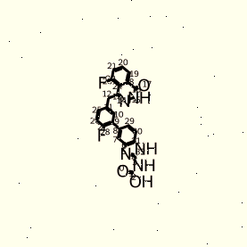 O=C(O)Nc1nc2cc(-c3cc(Cc4n[nH]c(=O)c5cccc(F)c45)ccc3F)ccc2[nH]1